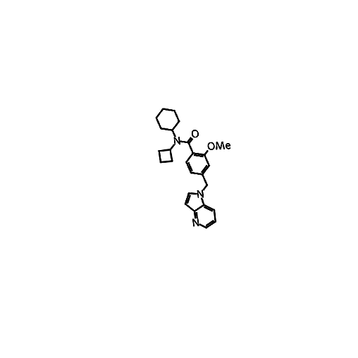 COc1cc(Cn2ccc3ncccc32)ccc1C(=O)N(C1CCCCC1)C1CCC1